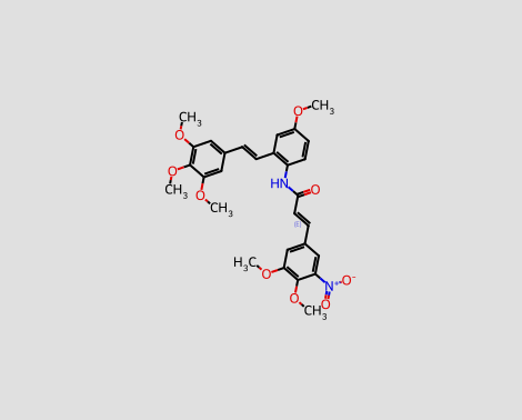 COc1ccc(NC(=O)/C=C/c2cc(OC)c(OC)c([N+](=O)[O-])c2)c(C=Cc2cc(OC)c(OC)c(OC)c2)c1